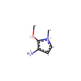 COc1c(N)ccn1C